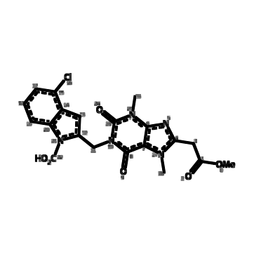 COC(=O)Cc1nc2c(c(=O)n(Cc3cc4c(Cl)cccc4n3C(=O)O)c(=O)n2C)n1C